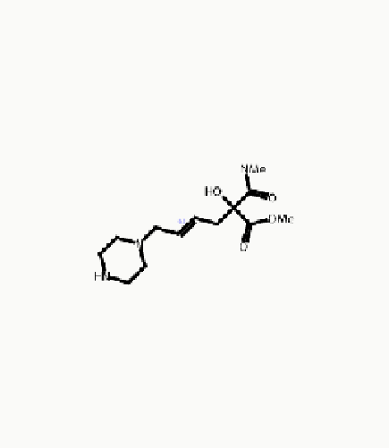 CNC(=O)C(O)(C/C=C/CN1CCNCC1)C(=O)OC